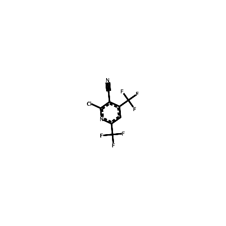 N#Cc1c(C(F)(F)F)cc(C(F)(F)F)nc1Cl